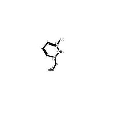 CCCCCN1C=CC=[N+]([O-])N1